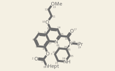 CCCCCCCC(=O)Oc1cccc2c(OCCOC)cc(C(=O)N(C(C)C)[C@@H]3CCCNC3)nc12